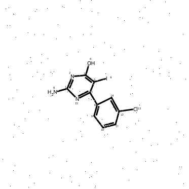 Nc1nc(O)c(I)c(-c2cccc(Cl)c2)n1